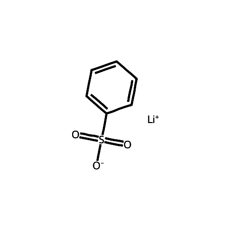 O=S(=O)([O-])c1ccccc1.[Li+]